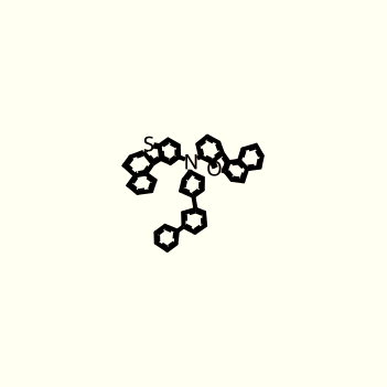 c1ccc(-c2cccc(-c3ccc(N(c4ccc5sc6ccc7ccccc7c6c5c4)c4cccc5c4oc4ccc6ccccc6c45)cc3)c2)cc1